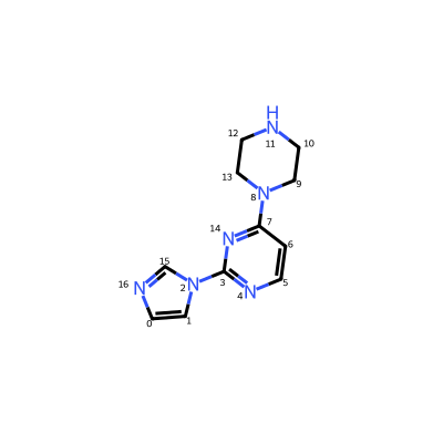 c1cn(-c2nccc(N3CCNCC3)n2)cn1